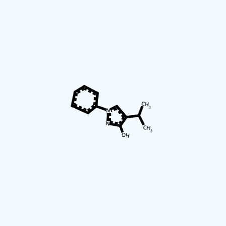 CC(C)c1cn(-c2ccccc2)nc1O